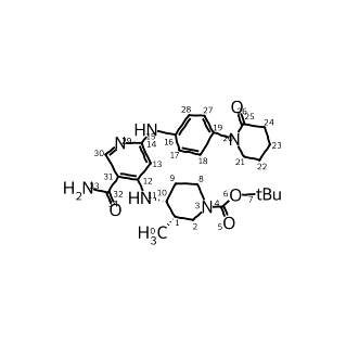 C[C@H]1CN(C(=O)OC(C)(C)C)CC[C@H]1Nc1cc(Nc2ccc(N3CCCCC3=O)cc2)ncc1C(N)=O